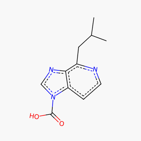 CC(C)Cc1nccc2c1ncn2C(=O)O